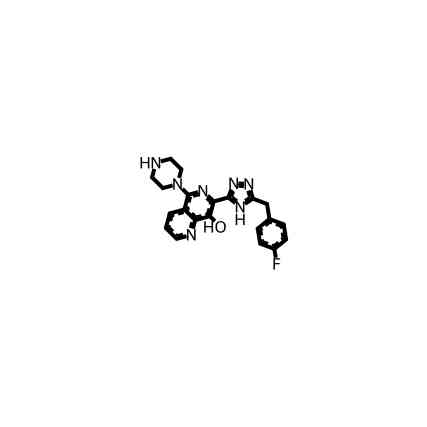 Oc1c(-c2nnc(Cc3ccc(F)cc3)[nH]2)nc(N2CCNCC2)c2cccnc12